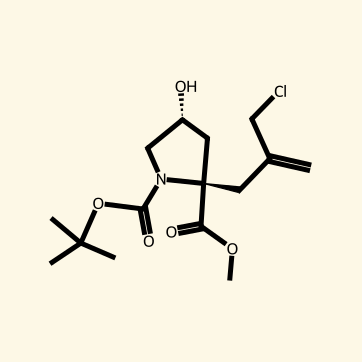 C=C(CCl)C[C@]1(C(=O)OC)C[C@@H](O)CN1C(=O)OC(C)(C)C